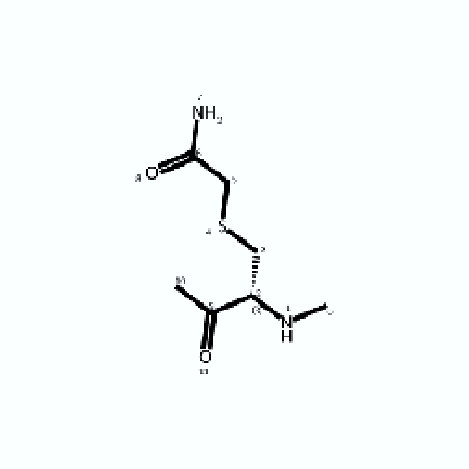 CN[C@@H](CSCC(N)=O)C(C)=O